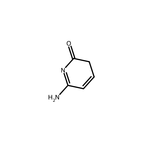 NC1=NC(=O)CC=C1